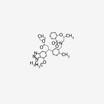 CCOC(=O)CC(c1ccc(C)c(CN2CC(C)Oc3ccccc3S2(=O)=O)c1)c1cc(OC)c2c(c1)nnn2C